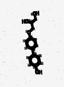 OCC(O)COc1ccc(-c2ccc(O)cc2)cc1